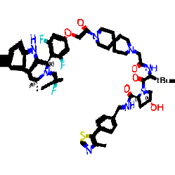 Cc1ncsc1-c1ccc(CNC(=O)[C@@H]2C[C@@H](O)CN2C(=O)C(NC(=O)CN2CCC3(CC2)CCN(C(=O)COc2cc(F)c([C@@H]4c5[nH]c6ccccc6c5C[C@@H](C)N4CC(C)(C)F)c(F)c2)CC3)C(C)(C)C)cc1